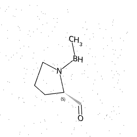 CBN1CCC[C@H]1C=O